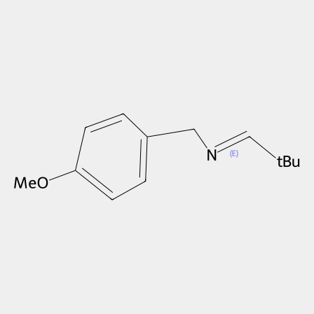 COc1ccc(C/N=C/C(C)(C)C)cc1